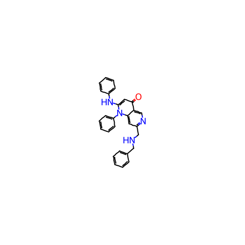 O=c1cc(Nc2ccccc2)n(-c2ccccc2)c2cc(CNCc3ccccc3)ncc12